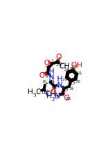 CC(=O)C1OC1C(=O)N[C@@H](CC(C)C)C(=O)NC(Cc1ccc(O)cc1)C(N)=O